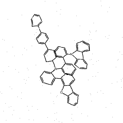 C1=CC(N(c2ccccc2-c2ccccc2-n2c3ccccc3c3ccccc32)c2ccccc2-c2cccc3c2oc2ccccc23)CC=C1c1ccc(-c2ccccc2)cc1